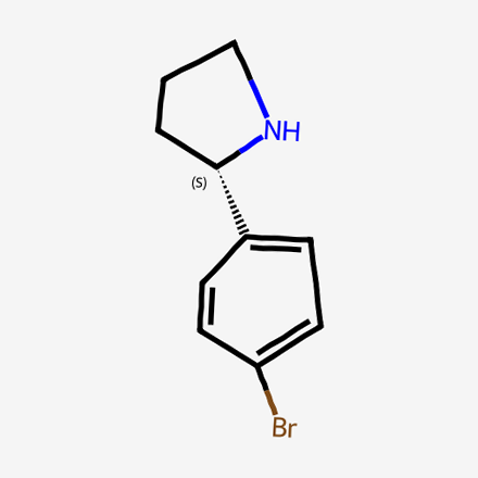 Brc1ccc([C@@H]2CCCN2)cc1